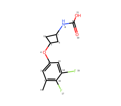 Cc1cc(OC2CC(NC(=O)O)C2)cc(F)c1F